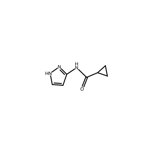 O=C(Nc1cc[nH]n1)C1CC1